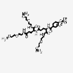 CCP(C)(=O)OC1CCC(C(=O)NC(CCC(=O)NC(CCC(=O)NCCOCCON)C(=O)NCCOCCON)C(=O)NCCOCCON)CC1